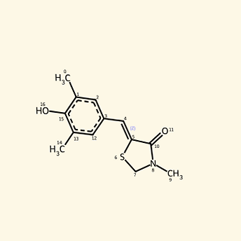 Cc1cc(/C=C2\SCN(C)C2=O)cc(C)c1O